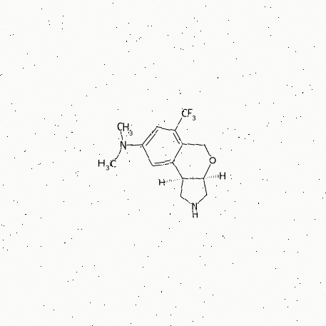 CN(C)c1cc2c(c(C(F)(F)F)c1)CO[C@H]1CNC[C@@H]21